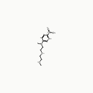 COCCOCCN(C)c1ccc([N+](=O)[O-])nc1